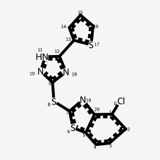 Clc1cccc2sc(Sc3n[nH]c(-c4cccs4)n3)nc12